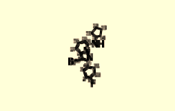 Fc1ccc(-c2nn3c(NC4CCCC4)cccc3c2Br)cc1